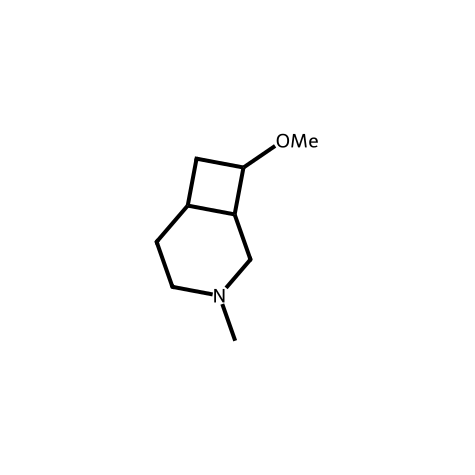 COC1CC2CCN(C)CC21